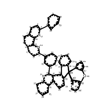 c1ccc(-c2ccc3ccc4ccc(-c5cccc(-c6nc7ccccc7c7ccc8c(c67)-c6ccccc6C86c7ccccc7Oc7ccccc76)c5)nc4c3n2)cc1